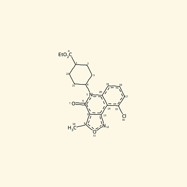 CCOC(=O)C1CCC(n2c(=O)c3c(C)onc3c3c(Cl)cccc32)CC1